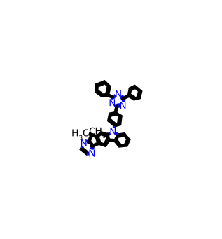 CC1(C)c2cc3c(cc2-c2nccnc21)c1ccccc1n3-c1ccc(-c2nc(-c3ccccc3)nc(-c3ccccc3)n2)cc1